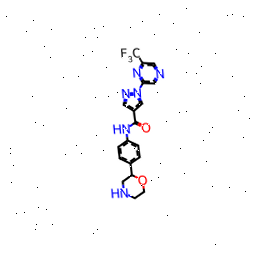 O=C(Nc1ccc(C2CNCCO2)cc1)c1cnn(-c2cncc(C(F)(F)F)n2)c1